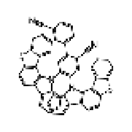 N#Cc1cccc(-c2cc(-n3c4ccccc4c4ccc5sc6ccccc6c5c43)c(-n3c4ccccc4c4ccc5sc6ccccc6c5c43)cc2C#N)c1